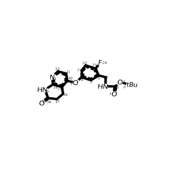 CC(C)(C)OC(=O)NCc1cc(Oc2ccnc3c2CCC(=O)N3)ccc1F